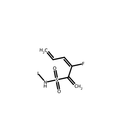 C=C/C=C(/F)C(=C)S(=O)(=O)NI